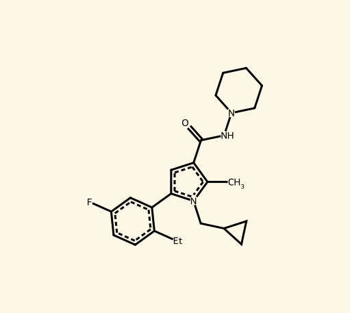 CCc1ccc(F)cc1-c1cc(C(=O)NN2CCCCC2)c(C)n1CC1CC1